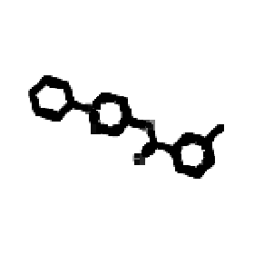 Cc1cccc(C(=O)N=c2ccn(C3C=CCC=C3)nc2)c1